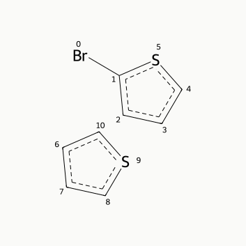 Brc1cccs1.c1ccsc1